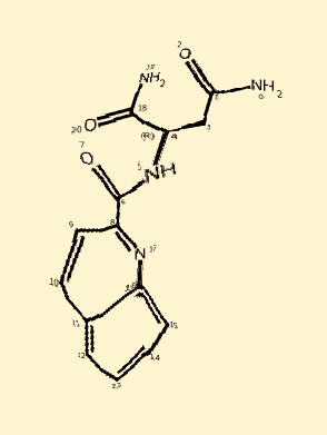 NC(=O)C[C@@H](NC(=O)c1ccc2ccccc2n1)C(N)=O